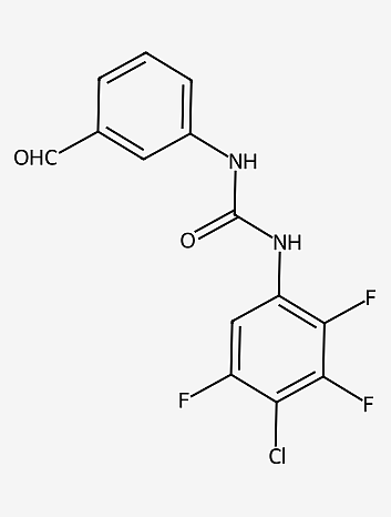 O=Cc1cccc(NC(=O)Nc2cc(F)c(Cl)c(F)c2F)c1